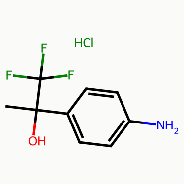 CC(O)(c1ccc(N)cc1)C(F)(F)F.Cl